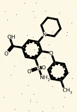 Cc1ccc(Oc2c(N3CCCCC3)cc(C(=O)O)cc2S(N)(=O)=O)cc1